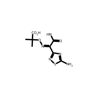 CC(C)(ON=C(C([NH])=O)c1nsc(N)n1)C(=O)O